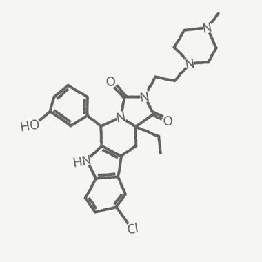 CCC12Cc3c([nH]c4ccc(Cl)cc34)C(c3cccc(O)c3)N1C(=O)N(CCN1CCN(C)CC1)C2=O